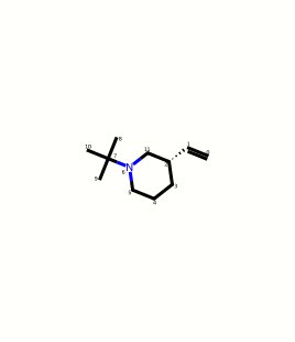 C=C[C@@H]1CCCN(C(C)(C)C)C1